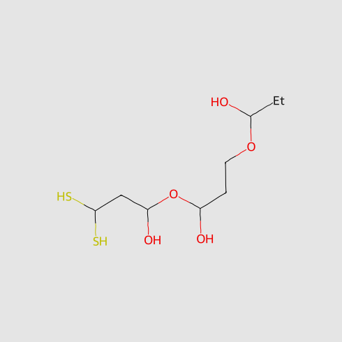 CCC(O)OCCC(O)OC(O)CC(S)S